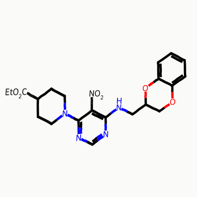 CCOC(=O)C1CCN(c2ncnc(NCC3COc4ccccc4O3)c2[N+](=O)[O-])CC1